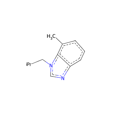 Cc1cccc2ncn(CC(C)C)c12